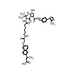 C/C(=C\C(=O)O)c1ccc2cc(OCC(=O)NCCCCCC(=O)N[C@H](C(=O)N3C[C@H](O)C[C@H]3C(=O)NCc3ccc(-c4scnc4C)cc3)C(C)(C)C)ccc2c1